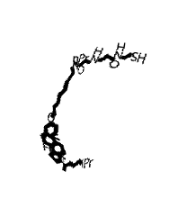 CCCN(CCCCCCCCO[C@H]1CC[C@@]2(C)C(=CCC3C2CC[C@]2(C)[C@@H](C(C)CCCC(C)C)CC[C@@H]32)C1)C(=O)CCNCCC(=O)NCCS